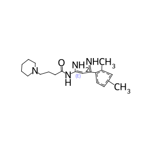 Cc1ccc(C(=N)/C=C(\N)NC(=O)CCCN2CCCCC2)c(C)c1